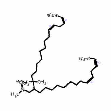 CCCCC/C=C\C/C=C\CCCCCCCCC(CN(C)C)C(C)(CCCCCCCC/C=C\C/C=C\CCCCC)C(=O)O